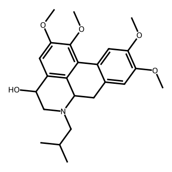 COc1cc2c(cc1OC)-c1c(OC)c(OC)cc3c1C(C2)N(CC(C)C)CC3O